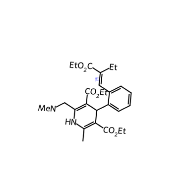 CCOC(=O)C1=C(C)NC(CNC)=C(C(=O)OCC)C1c1ccccc1/C=C(\CC)C(=O)OCC